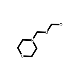 [O]COCN1CCOCC1